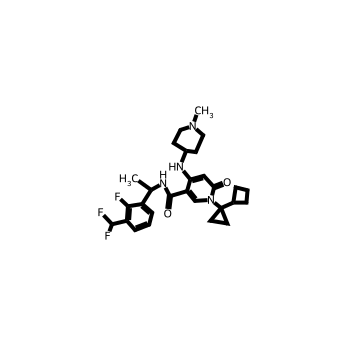 CC(NC(=O)c1cn(C2(C3CCC3)CC2)c(=O)cc1NC1CCN(C)CC1)c1cccc(C(F)F)c1F